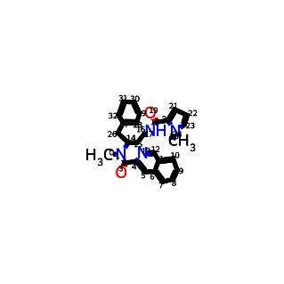 CN(C(=O)c1cc2ccccc2cn1)C(CCNC(=O)c1cccn1C)Cc1ccccc1